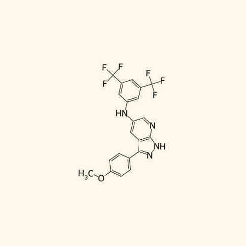 COc1ccc(-c2n[nH]c3ncc(Nc4cc(C(F)(F)F)cc(C(F)(F)F)c4)cc23)cc1